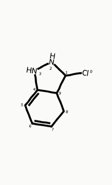 ClC1NNC2=CC=CCC21